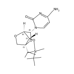 CC(C)[C@@]12CO[C@@H]([C@H](n3ccc(N)nc3=O)O1)[C@@H]2O[Si](C)(C)C(C)(C)C